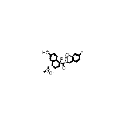 C[S+]([O-])C[C@H]1CC[C@@](F)(C(=O)NCc2ccc(F)cc2Cl)c2ccc(O)nc21